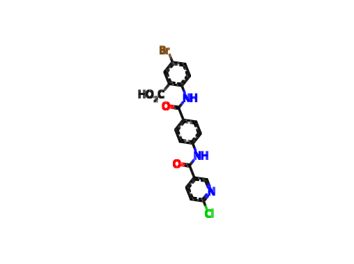 O=C(Nc1ccc(C(=O)Nc2ccc(Br)cc2C(=O)O)cc1)c1ccc(Cl)nc1